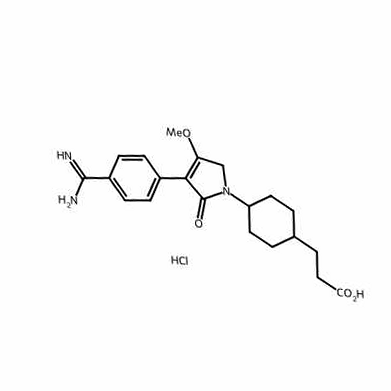 COC1=C(c2ccc(C(=N)N)cc2)C(=O)N(C2CCC(CCC(=O)O)CC2)C1.Cl